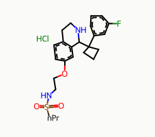 CCCS(=O)(=O)NCCOc1ccc2c(c1)C(C1(c3cccc(F)c3)CCC1)NCC2.Cl